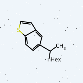 CCCCCCC(C)c1ccc2sccc2c1